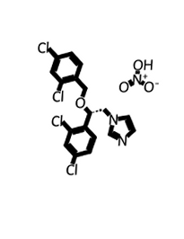 Clc1ccc(CO[C@H](Cn2ccnc2)c2ccc(Cl)cc2Cl)c(Cl)c1.O=[N+]([O-])O